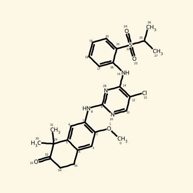 COc1cc2c(cc1Nc1ncc(Cl)c(Nc3ccccc3S(=O)(=O)C(C)C)n1)C(C)(C)C(=O)CC2